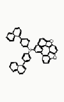 c1cc(-c2cccc3oc4ccc5oc6ccccc6c5c4c23)cc(N(c2ccc(-c3cccc4ccccc34)cc2)c2ccc(-c3cccc4ccccc34)cc2)c1